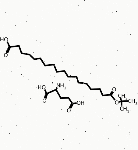 CC(C)(C)OC(=O)CCCCCCCCCCCCCCCCC(=O)O.NC(CCC(=O)O)C(=O)O